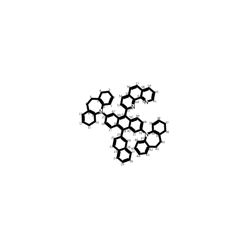 C1=CC2=C(CC1)CCC1=C(CCC=C1)N2c1ccc2c(-c3ccc4ccccc4c3)c3cc(N4C5=C(CCC=C5)CCc5ccccc54)ccc3c(-c3ccc4ccc5cccnc5c4n3)c2c1